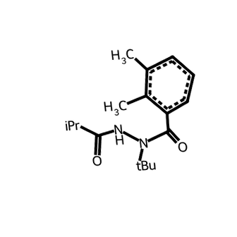 Cc1cccc(C(=O)N(NC(=O)C(C)C)C(C)(C)C)c1C